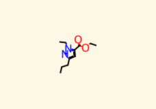 CCCc1cc(C(=O)OCC)n(CC)n1